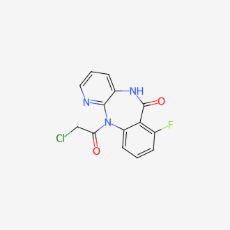 O=C1Nc2cccnc2N(C(=O)CCl)c2cccc(F)c21